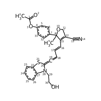 CC(=O)Oc1ccc(C2(C)O[C]C(C#N)=C2C=CC=C=C2Sc3ccccc3N2CCO)cc1